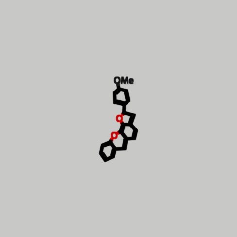 COc1ccc(C2C=c3ccc4c(c3O2)Oc2ccccc2C=4)cc1